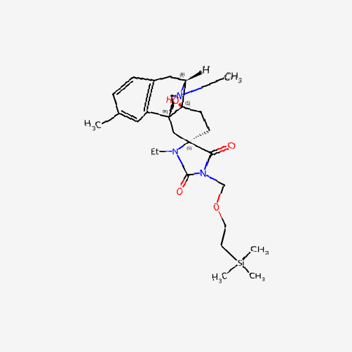 CCN1C(=O)N(COCC[Si](C)(C)C)C(=O)[C@@]12CC[C@@]1(O)[C@H]3Cc4ccc(C)cc4[C@@]1(CCN3C)C2